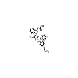 CCOc1ccc(S(=O)(=O)N2C[C@@H](C)[C@@H](n3nc(CC(=O)O)c4ccccc43)C2)c(-c2ccccc2)c1